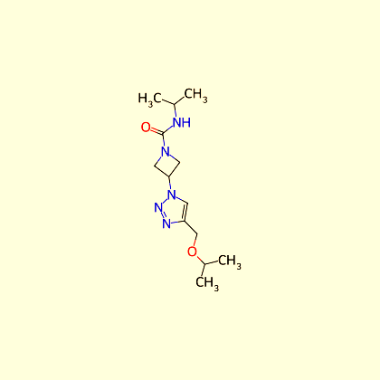 CC(C)NC(=O)N1CC(n2cc(COC(C)C)nn2)C1